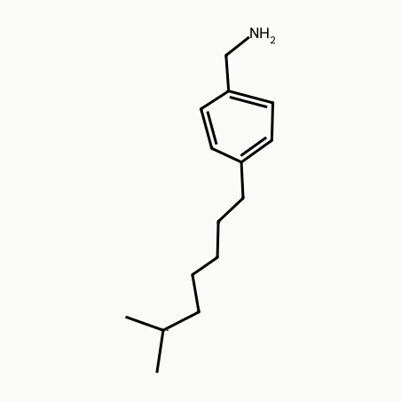 C[C](C)CCCCCc1ccc(CN)cc1